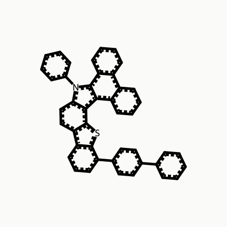 c1ccc(-c2ccc(-c3cccc4c3sc3c4ccc4c3c3c5ccccc5c5ccccc5c3n4-c3ccccc3)cc2)cc1